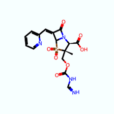 C[C@]1(COC(=O)NC=N)[C@H](C(=O)O)N2C(=O)/C(=C/c3ccccn3)C2S1(=O)=O